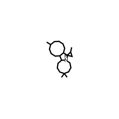 CC1CCCCC(C2(C)CC2C)C(C2CCCC(C)(C)CCCN2)CCC1